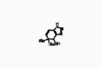 CC(C)(C)C1(C(C)(C)C)C=Cc2[nH]nnc2C1O